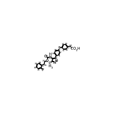 Cc1noc(-c2ccc(Sc3ccc(CC(=O)O)cc3)cc2)c1NC(=O)OCCc1ccccc1F